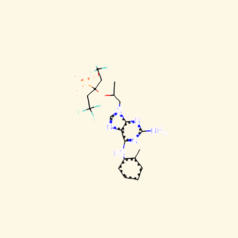 Cc1ccccc1Nc1nc(N)nc2c1ncn2CC(C)OC(CC(F)(F)F)(CC(F)(F)F)P(=O)(O)O